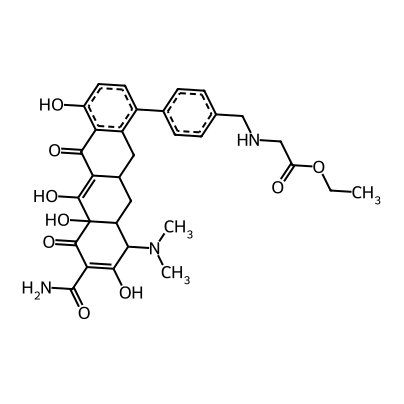 CCOC(=O)CNCc1ccc(-c2ccc(O)c3c2CC2CC4C(N(C)C)C(O)=C(C(N)=O)C(=O)C4(O)C(O)=C2C3=O)cc1